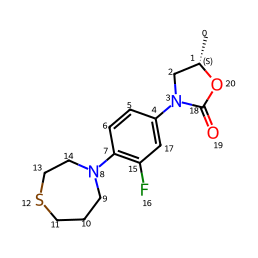 C[C@H]1CN(c2ccc(N3CCCSCC3)c(F)c2)C(=O)O1